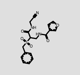 N#CCNC(=O)C(CNC(=O)c1ccoc1)S(=O)(=O)Cc1ccccc1